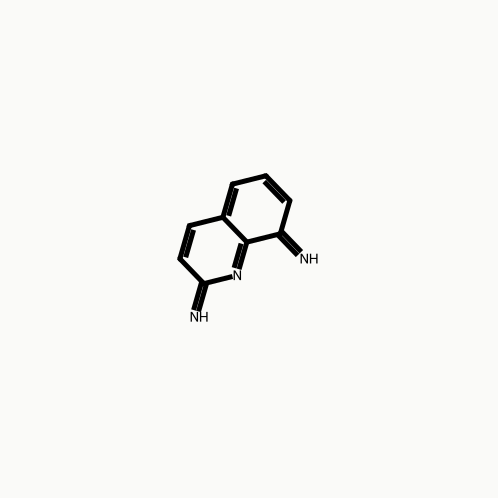 N=C1C=CC2=CC=CC(=N)C2=N1